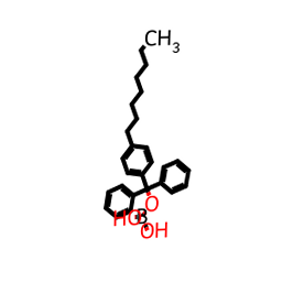 CCCCCCCCc1ccc(C(OB(O)O)(c2ccccc2)c2ccccc2)cc1